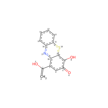 C=C(O)c1cc(=O)c(O)c2sc3ccccc3nc1-2